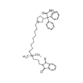 C[N+](C)(CCCCCCCCCN1CCC(C(C(N)=O)(c2ccccc2)c2ccccc2)C1)CCCN1C(=O)c2ccccc2C1=O